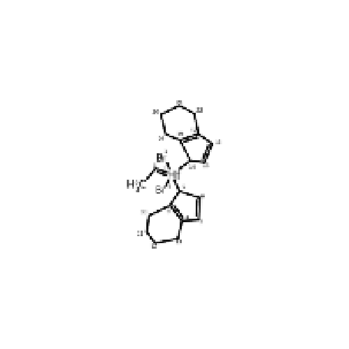 C[CH]=[Hf]([Br])([Br])([CH]1C=CC2=C1CCCC2)[CH]1C=CC2=C1CCCC2